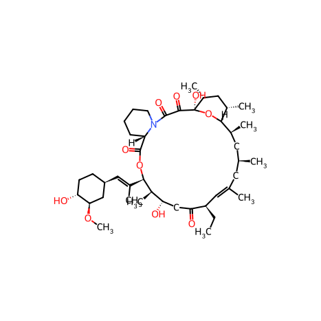 CC[C@@H]1/C=C(\C)C[C@H](C)C[C@H](C)[C@H]2O[C@@](O)(C(=O)C(=O)N3CCCC[C@H]3C(=O)O[C@H](/C(C)=C/[C@@H]3CC[C@@H](O)[C@H](OC)C3)[C@H](C)[C@@H](O)CC1=O)[C@H](C)C[C@@H]2C